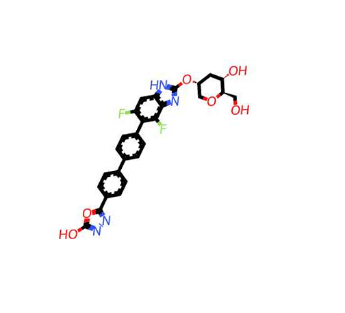 OC[C@H]1OC[C@H](Oc2nc3c(F)c(-c4ccc(-c5ccc(-c6nnc(O)o6)cc5)cc4)c(F)cc3[nH]2)C[C@@H]1O